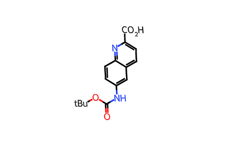 CC(C)(C)OC(=O)Nc1ccc2nc(C(=O)O)ccc2c1